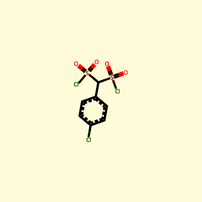 O=S(=O)(Cl)C(c1ccc(Cl)cc1)S(=O)(=O)Cl